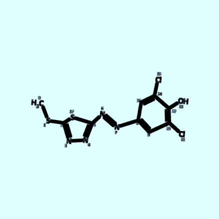 CSc1nnc(/N=N/c2cc(Cl)c(O)c(Cl)c2)s1